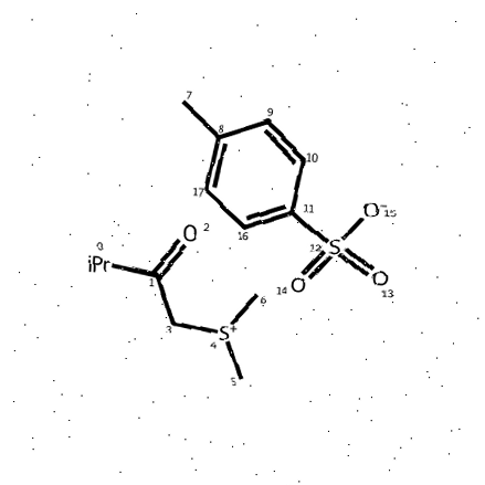 CC(C)C(=O)C[S+](C)C.Cc1ccc(S(=O)(=O)[O-])cc1